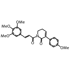 COc1ccc(C2=CCCN(C(=O)C=Cc3cc(OC)c(OC)c(OC)c3)C2=O)cc1